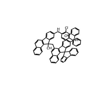 CC1(Cc2cc3ccccc3c3c2-c2ccc(Nc4ccccc4Cl)cc2C32c3ccccc3-c3ccccc32)c2cc(Nc3ccc(-c4ccccc4)cc3Cl)ccc2-c2ccc3ccccc3c21